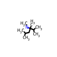 C=NC(C)(CC(C)C)C(C)C